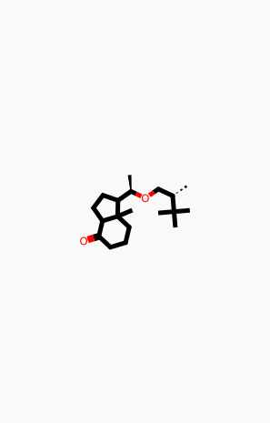 C[C@@H](OC[C@H](C)C(C)(C)C)C1CCC2C(=O)CCCC21C